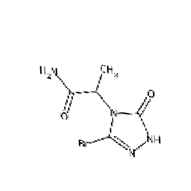 CC(C(N)=O)n1c(Br)n[nH]c1=O